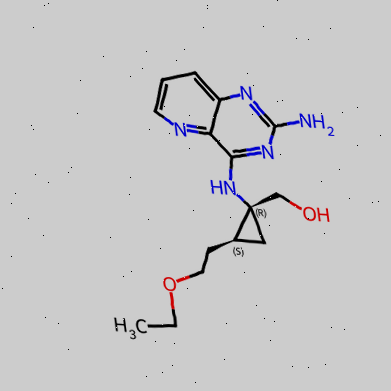 CCOCC[C@@H]1C[C@@]1(CO)Nc1nc(N)nc2cccnc12